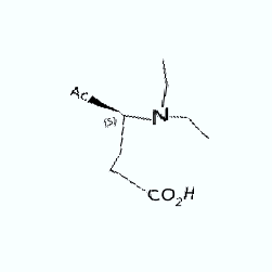 CC(=O)[C@H](CC(=O)O)N(C)C